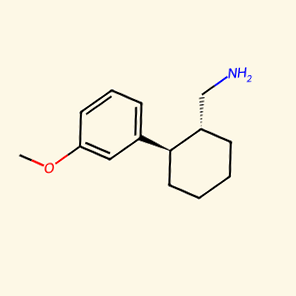 COc1cccc([C@@H]2CCCC[C@H]2CN)c1